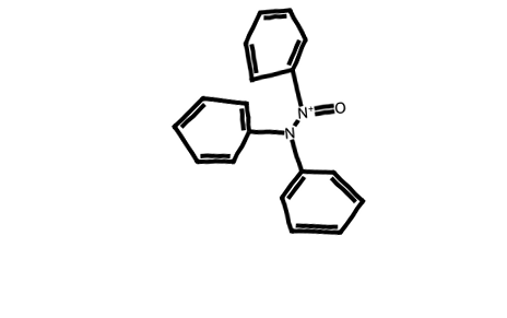 O=[N+](c1ccccc1)N(c1ccccc1)c1ccccc1